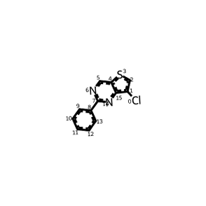 Clc1csc2cnc(-c3ccccc3)nc12